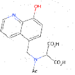 CC(=O)N(Cc1ccc(O)c2ncccc12)C(C(=O)O)C(=O)O